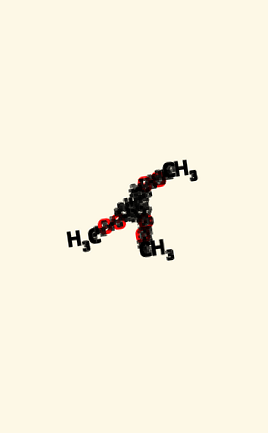 CC=COCCOc1ccc(CC(c2ccc(OCCOC=CC)cc2)c2ccc(OCCOC=CC)cc2)cc1